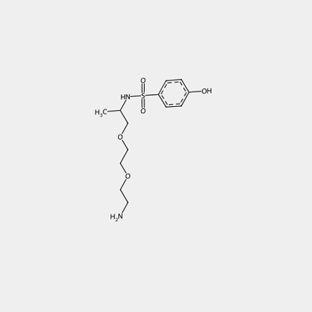 CC(COCCOCCN)NS(=O)(=O)c1ccc(O)cc1